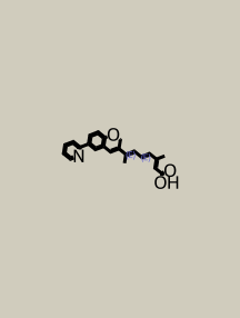 CC(=CC(=O)O)/C=C/C=C(\C)C1=Cc2cc(-c3ccccn3)ccc2OC1